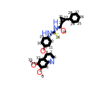 COc1cc2nccc(Oc3ccc(NC(=S)NC(=O)C4CC4c4ccccc4)cc3)c2cc1OC